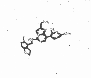 COc1ccc(-c2cnc(NCc3c(F)ccc4c3CCO4)n3cc(CN)nc23)c(C)n1